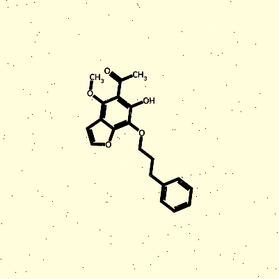 COc1c(C(C)=O)c(O)c(OCCCc2ccccc2)c2occc12